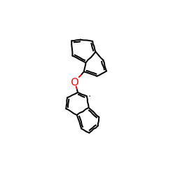 [c]1c(Oc2cccc3ccccc23)ccc2ccccc12